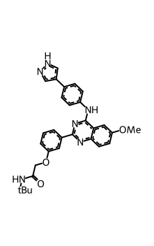 COc1ccc2nc(-c3cccc(OCC(=O)NC(C)(C)C)c3)nc(Nc3ccc(-c4cn[nH]c4)cc3)c2c1